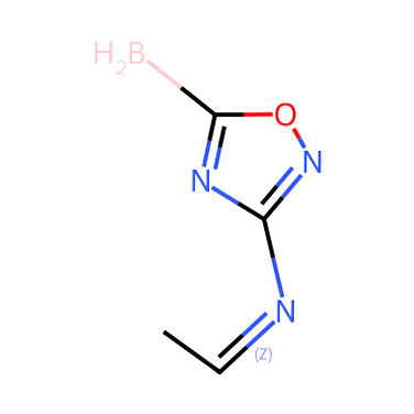 Bc1nc(/N=C\C)no1